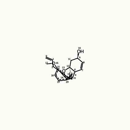 C=CCN1CC[C@@]23C=C[C@H](O)C[C@@H]2Oc2c(OC)ccc(c23)C1